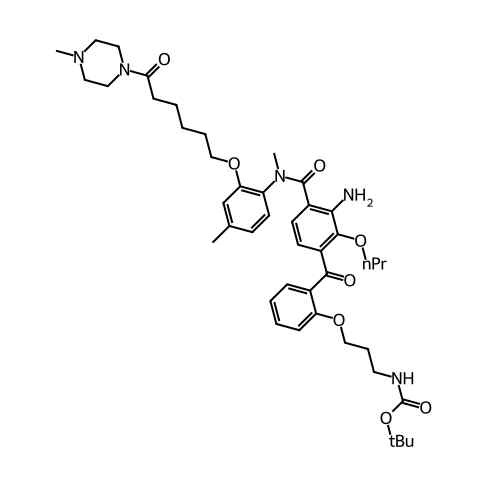 CCCOc1c(C(=O)c2ccccc2OCCCNC(=O)OC(C)(C)C)ccc(C(=O)N(C)c2ccc(C)cc2OCCCCCC(=O)N2CCN(C)CC2)c1N